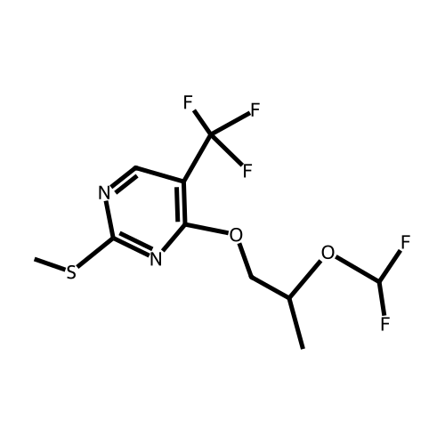 CSc1ncc(C(F)(F)F)c(OCC(C)OC(F)F)n1